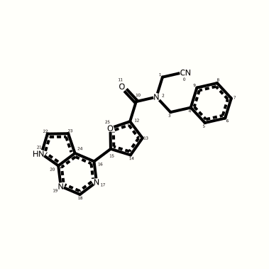 N#CCN(Cc1ccccc1)C(=O)c1ccc(-c2ncnc3[nH]ccc23)o1